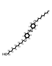 CCCCCCCCOc1ccc(N=Nc2ccc(OCCCCCCCCCCO)cc2)cc1